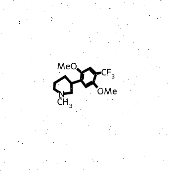 COc1cc(C(F)(F)F)c(OC)cc1C1CCCN(C)C1